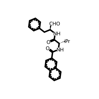 CC(C)[C@H](NC(=O)c1ccc2ccccc2c1)C(=O)N[C@H](C=O)Cc1ccccc1